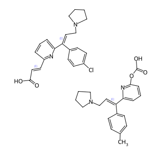 Cc1ccc(/C(=C\CN2CCCC2)c2cccc(OC(=O)O)n2)cc1.O=C(O)/C=C/c1cccc(/C(=C/CN2CCCC2)c2ccc(Cl)cc2)n1